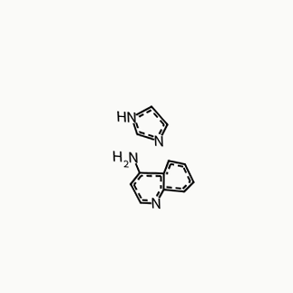 Nc1ccnc2ccccc12.c1c[nH]cn1